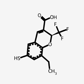 CCc1cc(S)cc2c1O[C@H](C(F)(F)F)C(C(=O)O)=C2